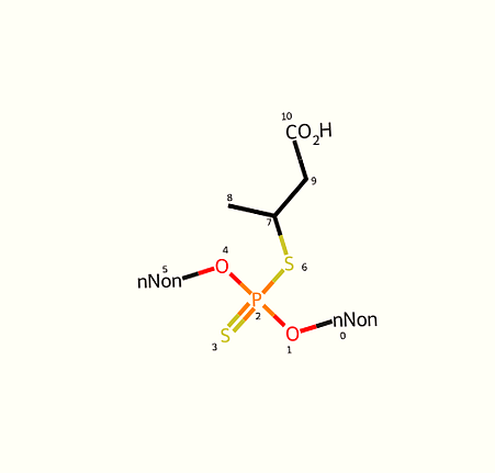 CCCCCCCCCOP(=S)(OCCCCCCCCC)SC(C)CC(=O)O